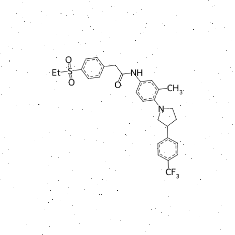 CCS(=O)(=O)c1ccc(CC(=O)Nc2ccc(N3CCC(c4ccc(C(F)(F)F)cc4)C3)c(C)c2)cc1